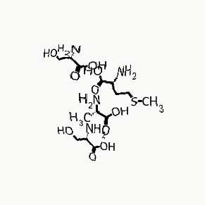 CSCC[C@H](N)C(=O)O.C[C@H](N)C(=O)O.N[C@@H](CO)C(=O)O.N[C@@H](CO)C(=O)O